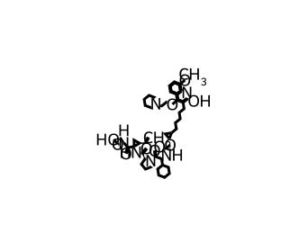 C=C[C@@H]1C[C@]1(NC(=O)[C@@H]1CCCN1C(=O)[C@@H](NC(=O)OC1CC1CCCCCc1c(O)nc2c(OC)cccc2c1OCCN1CCCCC1)C1CCCCC1)C(=O)NOO